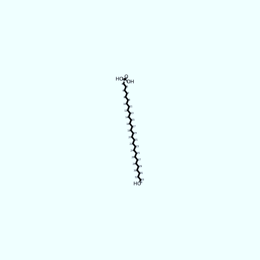 O=P(O)(O)CCCCCCCCCCCCCCCCCCCCCCCCCCCCCCO